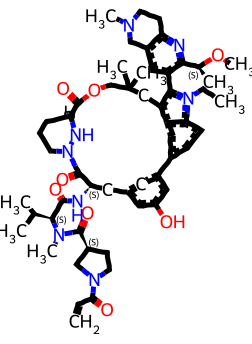 C=CC(=O)N1CC[C@H](C(=O)N(C)[C@H](C(=O)N[C@H]2Cc3cc(O)cc(c3)-c3ccc4c(c3)c(c(-c3cc5c(nc3[C@H](C)OC)CCN(C)C5)n4CC)CC(C)(C)COC(=O)[C@@H]3CCCN(N3)C2=O)C(C)C)C1